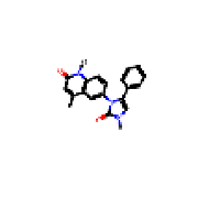 CCn1c(=O)cc(C)c2cc(-n3c(-c4ccccc4)cn(C)c3=O)ccc21